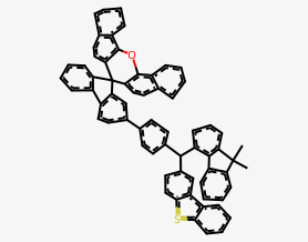 CC1(C)c2ccccc2-c2c(C(c3ccc(-c4ccc5c(c4)C4(c6ccccc6-5)c5ccc6ccccc6c5Oc5c4ccc4ccccc54)cc3)c3ccc4sc5ccccc5c4c3)cccc21